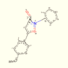 COc1ccc(-c2cc(=O)n(-c3ccccc3)o2)cc1